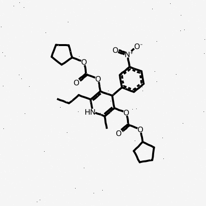 CCCC1=C(OC(=O)OC2CCCC2)C(c2cccc([N+](=O)[O-])c2)C(OC(=O)OC2CCCC2)=C(C)N1